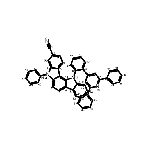 N#Cc1ccc2c3c(ccc4c5ccccc5n(-c5ccccc5-c5cc(-c6ccccc6)nc(-c6ccccc6)c5)c43)n(-c3ccccc3)c2c1